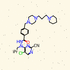 CC(C)CN(NC(=O)c1ccc(CN2CCN(CCCN3CCCCC3)CC2)cc1)c1nc(C#N)ncc1Cl